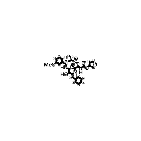 CCCC(CCC)S(=O)(=O)C[C@H](NC(=O)O[C@H]1CCOC1)C(=O)N[C@@H](Cc1ccccc1)[C@H](O)CNCc1cccc(OC)c1